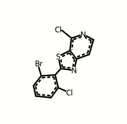 Clc1cccc(Br)c1-c1nc2ccnc(Cl)c2s1